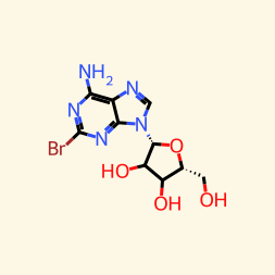 Nc1nc(Br)nc2c1ncn2[C@@H]1O[C@H](CO)C(O)C1O